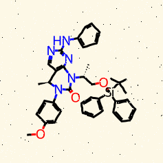 COc1ccc(N2C(=O)N([C@H](C)CO[Si](c3ccccc3)(c3ccccc3)C(C)(C)C)c3nc(Nc4ccccc4)ncc3[C@@H]2C)cc1